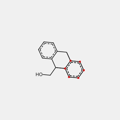 OCC12c3ccccc3C(c3ccccc31)c1ccccc12